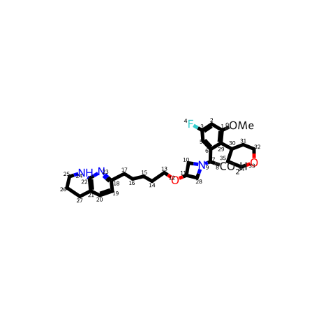 COc1cc(F)cc(C(C(=O)O)N2CC(OCCCCCc3ccc4c(n3)NCCC4)C2)c1C1CCOCC1